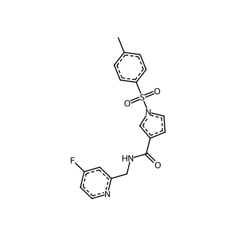 Cc1ccc(S(=O)(=O)n2ccc(C(=O)NCc3cc(F)ccn3)c2)cc1